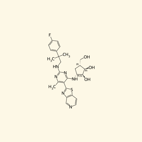 Cc1nc(NCC(C)(C)c2ccc(F)cc2)nc(N[C@@H]2C[C@H](CO)[C@@H](O)[C@H]2O)c1-c1nc2cnccc2s1